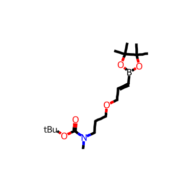 CN(CCCOC/C=C/B1OC(C)(C)C(C)(C)O1)C(=O)OC(C)(C)C